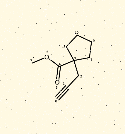 C#CCC1(C(=O)OC)CCCC1